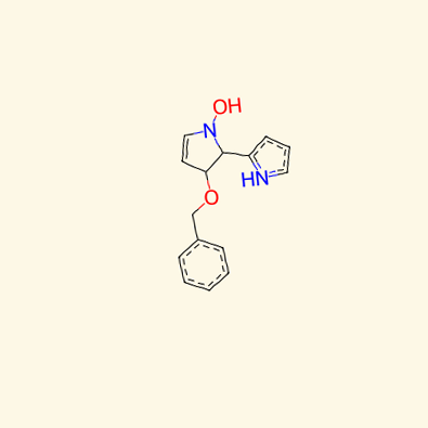 ON1C=CC(OCc2ccccc2)C1c1ccc[nH]1